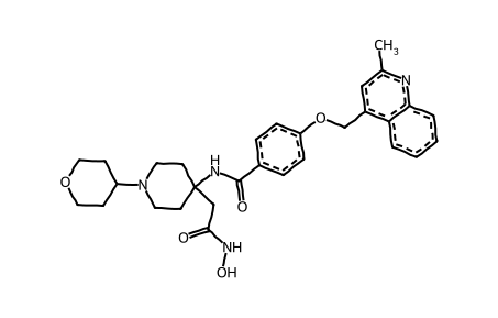 Cc1cc(COc2ccc(C(=O)NC3(CC(=O)NO)CCN(C4CCOCC4)CC3)cc2)c2ccccc2n1